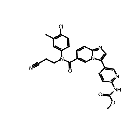 COC(=O)Nc1ccc(-c2cnc3ccc(C(=O)N(CCC#N)c4ccc(Cl)c(C)c4)cn23)cn1